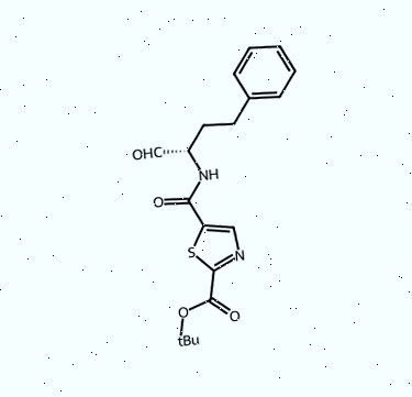 CC(C)(C)OC(=O)c1ncc(C(=O)N[C@H](C=O)CCc2ccccc2)s1